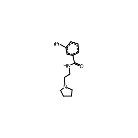 CC(C)c1cccc(C(=O)NCCN2CCCC2)c1